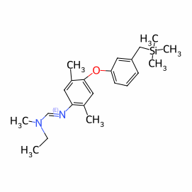 CCN(C)/C=N/c1cc(C)c(Oc2cccc(C[Si](C)(C)C)c2)cc1C